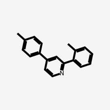 Cc1ccc(-c2ccnc(-c3ccccc3C)c2)cc1